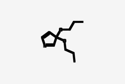 CCCOC1(OCCC)C=CN=C1